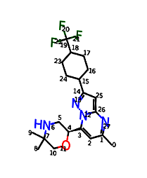 Cc1cc([C@@H]2CNC(C)(C)CO2)n2nc(C3CCC(C(F)(F)F)CC3)cc2n1